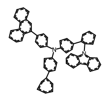 c1ccc(-c2ccc(N(c3ccc(-c4ccccc4-n4c5ccccc5c5ccccc54)cc3)c3ccc(-c4cc5ccccc5c5ccccc45)cc3)cc2)cc1